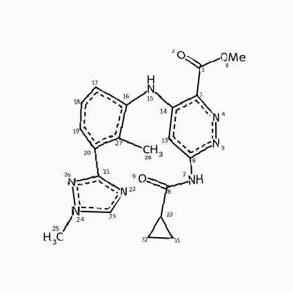 COC(=O)c1nnc(NC(=O)C2CC2)cc1Nc1cccc(-c2ncn(C)n2)c1C